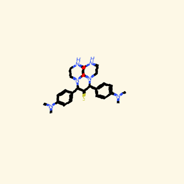 CN(C)c1ccc(C(C(=S)C(c2ccc(N(C)C)cc2)N2CCNCC2)N2CCNCC2)cc1